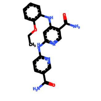 CCOc1ccccc1Nc1cc(Nc2ccc(C(N)=O)cn2)ncc1C(N)=O